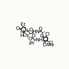 CCc1cn([C@@H]2O[C@H](CNC(=O)[C@@H](C)Oc3cc(OC)c(Cl)cc3Cl)[C@@H](OC(=O)[C@@H](N)C(C)C)[C@@H]2F)c(=O)[nH]c1=O